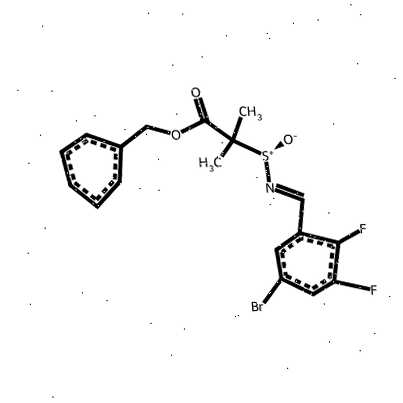 CC(C)(C(=O)OCc1ccccc1)[S@@+]([O-])/N=C/c1cc(Br)cc(F)c1F